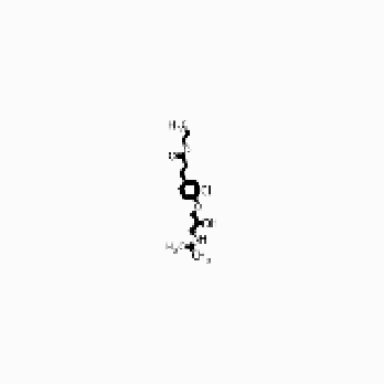 CCCOC(=O)CCc1ccc(OCC(O)CNC(C)C)cc1.Cl